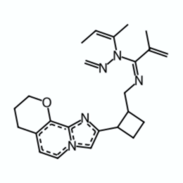 C=NN(/C(C)=C\C)/C(=N\CC1CCC1c1cn2ccc3c(c2n1)OCCC3)C(=C)C